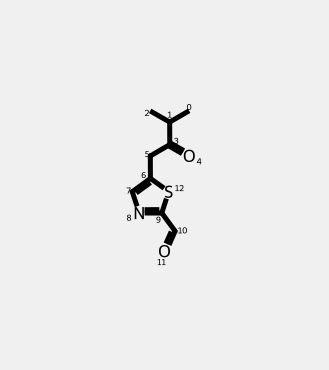 CC(C)C(=O)Cc1cnc(C=O)s1